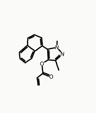 C=CC(=O)Oc1c(C)nn(C)c1-c1cccc2ccccc12